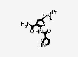 CC(C)N(C)Sc1cc(C(N)=O)c(NC(=O)c2cc[nH]n2)s1